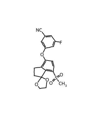 CS(=O)(=O)c1ccc(Oc2cc(F)cc(C#N)c2)c2c1C1(CC2)OCCO1